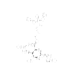 CCOP(=O)(CSCCONc1nc(NC=O)nc(Cl)c1NC=O)OCC